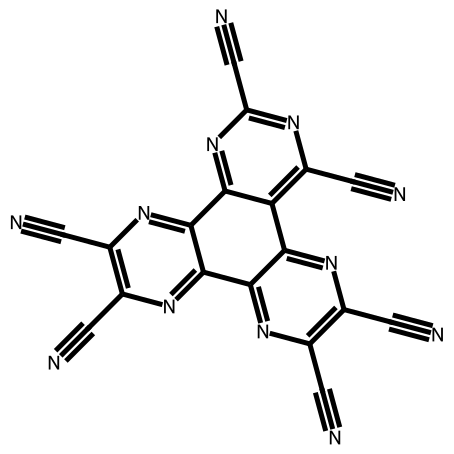 N#Cc1nc(C#N)c2c(n1)c1nc(C#N)c(C#N)nc1c1nc(C#N)c(C#N)nc12